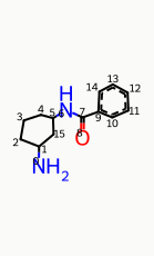 NC1CCCC(NC(=O)c2ccccc2)C1